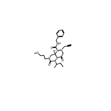 C#CCN1CC(=O)N2[C@@H](C(C)CC)C(=O)N(CCCOC)C[C@@H]2N1C(=O)NCc1ccccc1